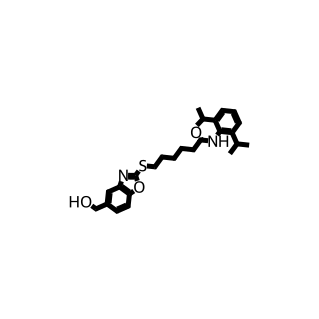 CC(C)c1cccc(C(C)C)c1NC(=O)CCCCCSc1nc2cc(CO)ccc2o1